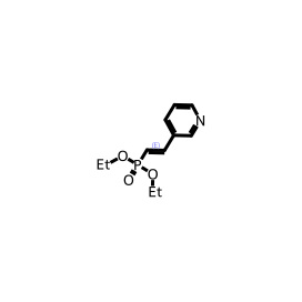 CCOP(=O)(/C=C/c1cccnc1)OCC